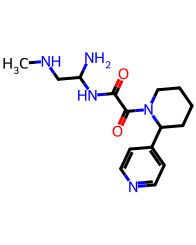 CNCC(N)NC(=O)C(=O)N1CCCCC1c1ccncc1